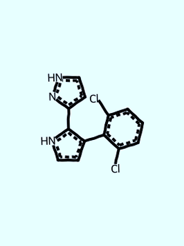 Clc1cccc(Cl)c1-c1cc[nH]c1-c1cc[nH]n1